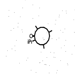 CC1CCCC(C)CCC(C(C)C)C(=O)CC(C)CCC1